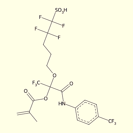 C=C(C)C(=O)OC(OCCCC(F)(F)C(F)(F)S(=O)(=O)O)(C(=O)Nc1ccc(C(F)(F)F)cc1)C(F)(F)F